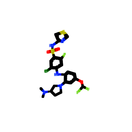 CN(C)[C@@H]1CCN(c2cc(OC(F)F)ccc2Nc2cc(F)c(S(=O)(=O)Nc3cscn3)cc2Cl)C1